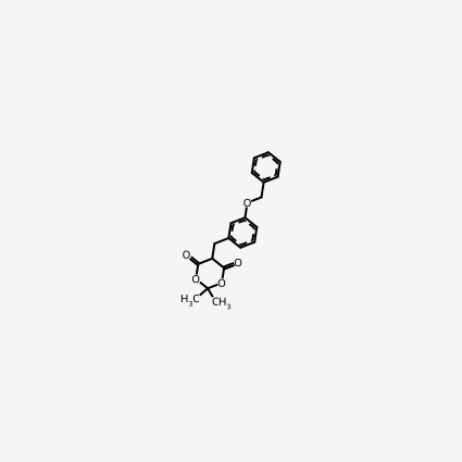 CC1(C)OC(=O)C(Cc2cccc(OCc3ccccc3)c2)C(=O)O1